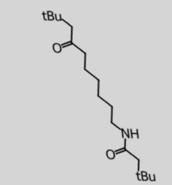 CC(C)(C)CC(=O)CCCCCCNC(=O)CC(C)(C)C